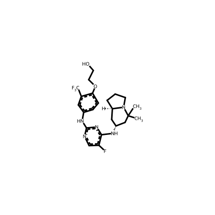 CC1(C)C[C@H](Nc2nc(Nc3ccc(OCCO)c(C(F)(F)F)c3)ncc2F)C[C@H]2CCCN21